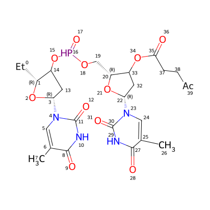 CC[C@H]1O[C@@H](n2cc(C)c(=O)[nH]c2=O)CC1O[PH](=O)OC[C@H]1O[C@@H](n2cc(C)c(=O)[nH]c2=O)CC1OC(=O)CCC(C)=O